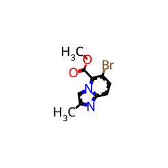 COC(=O)c1c(Br)ccc2nc(C)cn12